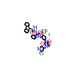 CC1(C)C(=O)N(c2ccc(SC(F)(F)F)c(NC(=O)C(NC(=O)CC3c4ccccc4-c4ccccc43)c3ccccc3)c2)C(=O)N1Cc1ccnc(Cl)c1